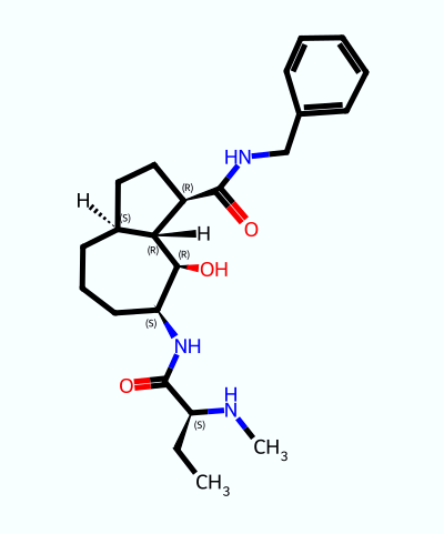 CC[C@H](NC)C(=O)N[C@H]1CCC[C@H]2CC[C@@H](C(=O)NCc3ccccc3)[C@@H]2[C@H]1O